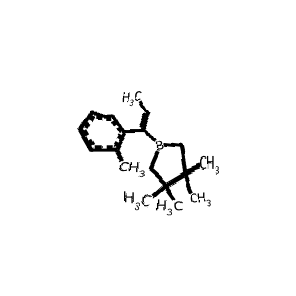 C/C=C(/B1CC(C)(C)C(C)(C)C1)c1ccccc1C